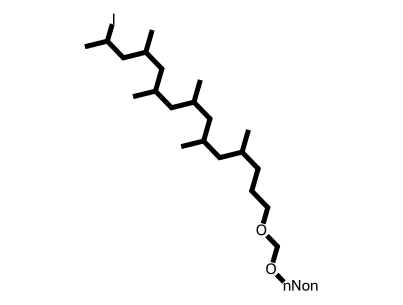 CCCCCCCCCOCOCCCC(C)CC(C)CC(C)CC(C)CC(C)CC(C)I